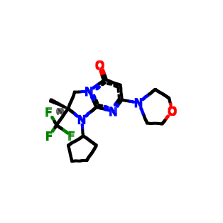 C[C@@]1(C(F)(F)F)Cn2c(nc(N3CCOCC3)cc2=O)N1C1CCCC1